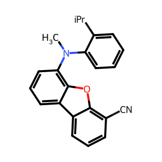 CC(C)c1ccccc1N(C)c1cccc2c1oc1c(C#N)cccc12